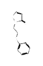 O=c1ccsn1CCOc1ccccc1